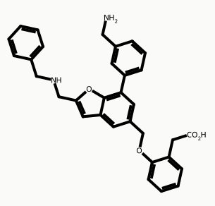 NCc1cccc(-c2cc(COc3ccccc3CC(=O)O)cc3cc(CNCc4ccccc4)oc23)c1